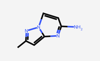 Cc1cc2nc(N)ccn2n1